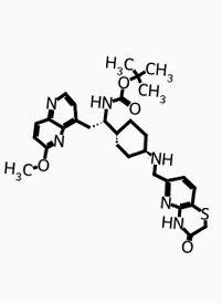 COc1ccc2nccc(C[C@H](NC(=O)OC(C)(C)C)[C@H]3CC[C@H](NCc4ccc5c(n4)NC(=O)CS5)CC3)c2n1